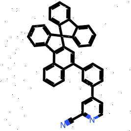 N#Cc1cc(-c2cccc(-c3cc4c(c5ccccc35)-c3ccccc3C43c4ccccc4-c4ccccc43)c2)ccn1